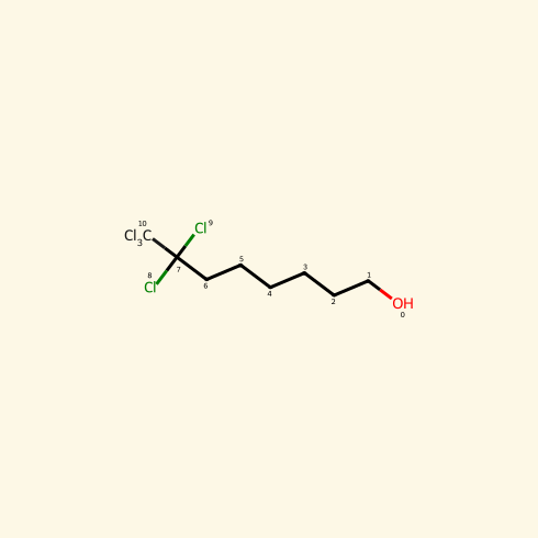 OCCCCCCC(Cl)(Cl)C(Cl)(Cl)Cl